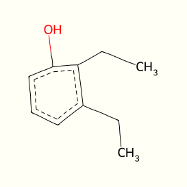 CCc1cccc(O)c1CC